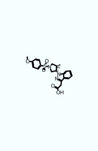 COc1ccc(S(=O)(=O)N2C[C@@H](C)[C@@H](n3nc(CC(=O)O)c4ccccc43)C2)cc1